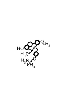 CCOCCN(Cc1ccc(OCCN(C)C)cc1)c1cc(OC)ccc1C1CCc2cc(O)ccc2C1